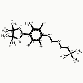 Cc1c(F)c(OCOCC[Si](C)(C)C)c(F)c(F)c1B1OC(C)(C)C(C)(C)O1